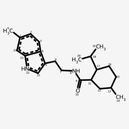 Cc1ccc2c(CCNC(=O)C3CC(C)CCC3C(C)C)c[nH]c2c1